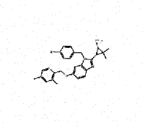 Cc1cnc(COc2ccc3nc([C@H]4[C@@H](C(=O)O)C4(C)C)n(Cc4ccc(Br)cc4)c3c2)c(F)c1